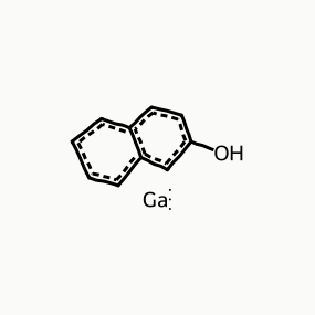 Oc1ccc2ccccc2c1.[Ga]